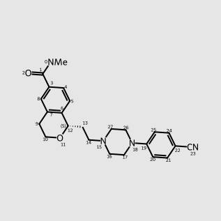 CNC(=O)c1ccc2c(c1)CCO[C@H]2CCN1CCN(c2ccc(C#N)cc2)CC1